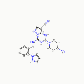 N#Cc1cnn2c(NCc3ccccc3-n3cccn3)nc(N3CCC(N)CC3)nc12